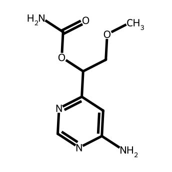 COCC(OC(N)=O)c1cc(N)ncn1